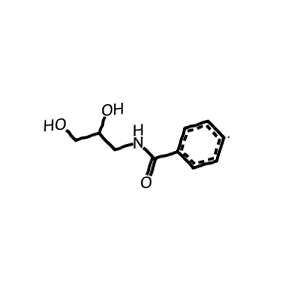 O=C(NCC(O)CO)c1cc[c]cc1